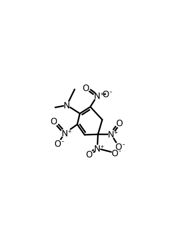 CN(C)C1=C([N+](=O)[O-])CC([N+](=O)[O-])([N+](=O)[O-])C=C1[N+](=O)[O-]